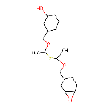 CC(OCC1CCCC(O)C1)SC(C)OCC1CCC2OC2C1